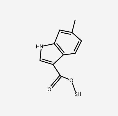 Cc1ccc2c(C(=O)OS)c[nH]c2c1